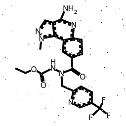 CCOC(=O)NN(Cc1ccc(C(F)(F)F)cn1)C(=O)c1ccc2nc(N)c3cnn(C)c3c2c1